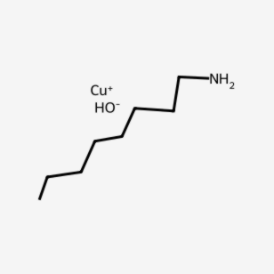 CCCCCCCCN.[Cu+].[OH-]